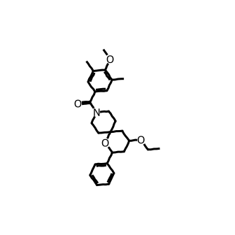 CCOC1CC(c2ccccc2)OC2(CCN(C(=O)c3cc(C)c(OC)c(C)c3)CC2)C1